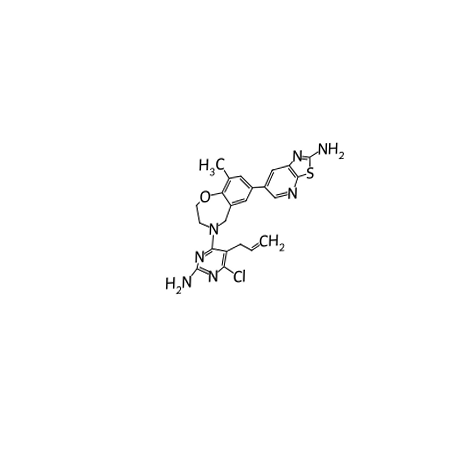 C=CCc1c(Cl)nc(N)nc1N1CCOc2c(C)cc(-c3cnc4sc(N)nc4c3)cc2C1